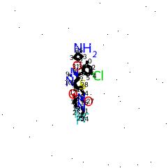 Cc1cc(Cl)cc(-c2ncnc3cc(Cn4c(=O)ccn(CC(F)(F)F)c4=O)sc23)c1OC1CC(N)C1